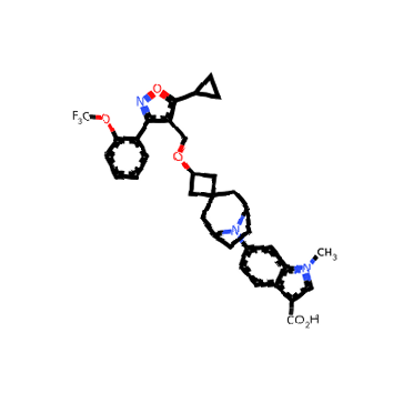 Cn1cc(C(=O)O)c2ccc(N3C4CCC3CC3(CC(OCc5c(-c6ccccc6OC(F)(F)F)noc5C5CC5)C3)C4)cc21